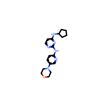 c1cc(NC2CCCC2)nc(Nc2ccc(N3CCOCC3)cn2)n1